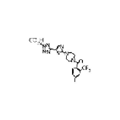 O=C(O)Cn1nnc(-c2cnc(N3CCN(C(=O)c4ccc(F)cc4C(F)(F)F)CC3)s2)n1